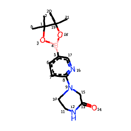 CC1(C)OB(c2ccc(N3CCNC(=O)C3)nc2)OC1(C)C